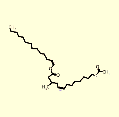 CCCCCCCCCCCC/C=C\OC(=O)CC(C)C/C=C\CCCCCCCOC(C)=O